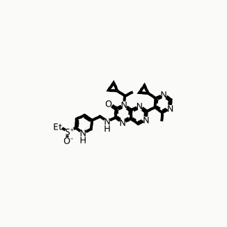 CC[S+]([O-])C1=CC=C(CNc2nc3cnc(-c4c(C)ncnc4C4CC4)nc3n(C(C)C3CC3)c2=O)CN1